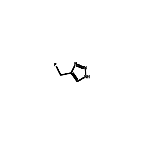 FCc1c[nH]nn1